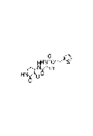 CC(C)C(NC(=O)OCCc1cccs1)C(=O)NC1CCNC(=O)C1=O